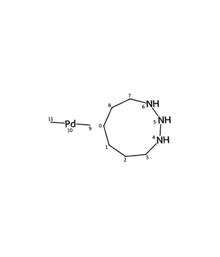 C1CCCNNNCC1.[CH3][Pd][CH3]